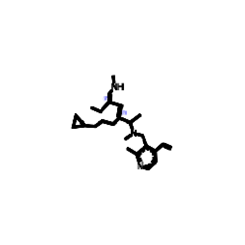 C=Cc1ccnc(C)c1CN(C)C(C)/C(=C/C(=C\NC)CC)CCCC1CC1